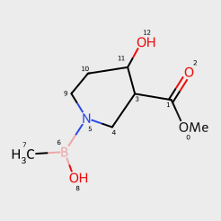 COC(=O)C1CN(B(C)O)CCC1O